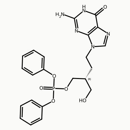 Nc1nc2c(ncn2CC[C@H](CO)COP(=O)(Oc2ccccc2)Oc2ccccc2)c(=O)[nH]1